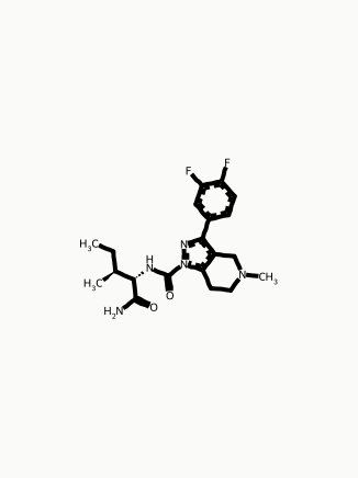 CC[C@H](C)[C@H](NC(=O)n1nc(-c2ccc(F)c(F)c2)c2c1CCN(C)C2)C(N)=O